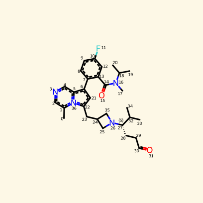 Cc1cncc2c(-c3ccc(F)cc3C(=O)N(C)C(C)C)cc(CC3CN([C@@H](CCC=O)C(C)C)C3)n12